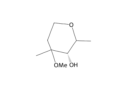 COC1(C)CCOC(C)[C@@H]1O